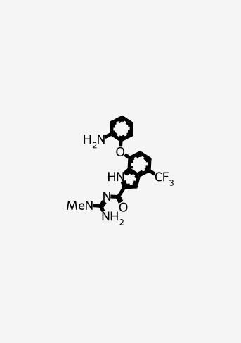 CNC(N)=NC(=O)c1cc2c(C(F)(F)F)ccc(Oc3ccccc3N)c2[nH]1